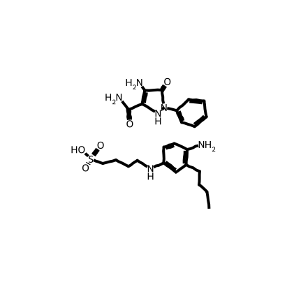 CCCCc1cc(NCCCCS(=O)(=O)O)ccc1N.NC(=O)c1[nH]n(-c2ccccc2)c(=O)c1N